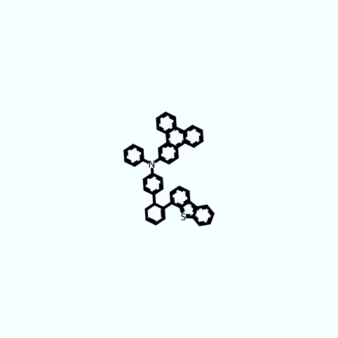 C1=CCC(c2ccc(N(c3ccccc3)c3ccc4c5ccccc5c5ccccc5c4c3)cc2)C(c2cccc3c2sc2ccccc23)=C1